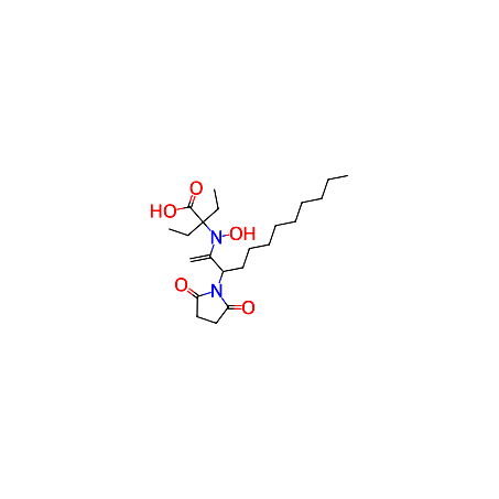 C=C(C(CCCCCCCCC)N1C(=O)CCC1=O)N(O)C(CC)(CC)C(=O)O